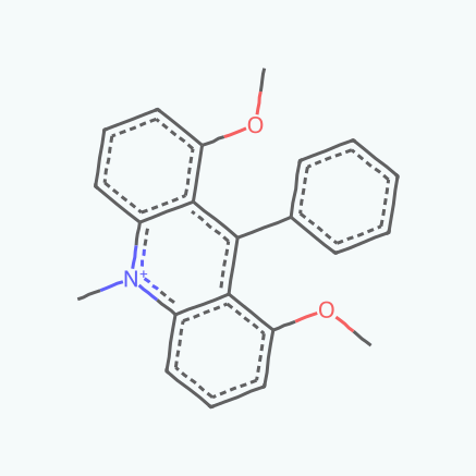 COc1cccc2c1c(-c1ccccc1)c1c(OC)cccc1[n+]2C